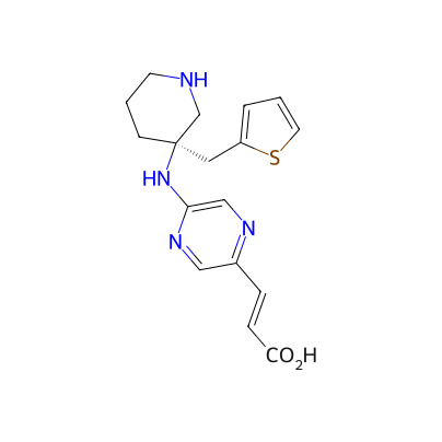 O=C(O)/C=C/c1cnc(N[C@@]2(Cc3cccs3)CCCNC2)cn1